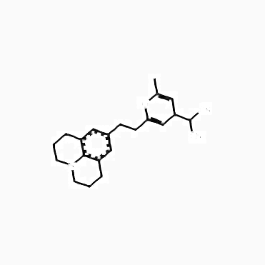 CC1=CC(C(C#N)C#N)C=C(CCc2cc3c4c(c2)CCCN4CCC3)O1